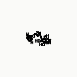 CC[C@H]1[C@H](NC(C)=O)[C@@H](O)[C@H](O)[C@@H](CO)N1CCn1cc(COCC23CC4C[C@H](C2)C[C@H](C4)C3)nn1